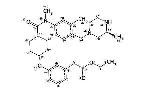 CCOC(=O)Cc1cccc(O[C@H]2CC[C@H](C(=O)N(C)c3ccc(CN4CCN[C@@H](C)C4)c(C)c3)CC2)c1